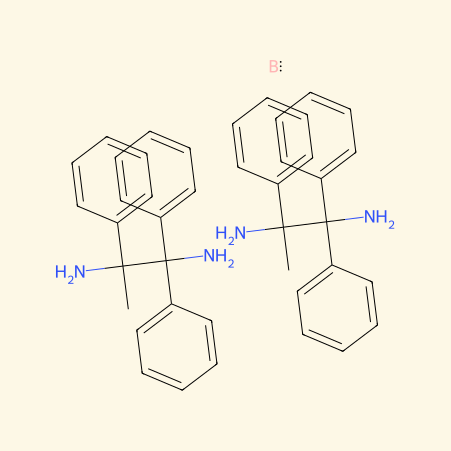 CC(N)(c1ccccc1)C(N)(c1ccccc1)c1ccccc1.CC(N)(c1ccccc1)C(N)(c1ccccc1)c1ccccc1.[B]